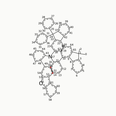 CC1(C)c2ccccc2-c2c(-c3ccccc3N(c3ccc4c(c3)C(c3ccccc3)(c3ccccc3)c3ccccc3-4)c3ccccc3-c3ccc4c(c3)oc3ccccc34)cccc21